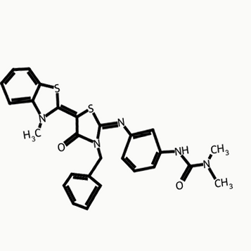 CN(C)C(=O)Nc1cccc(N=C2S/C(=C3\Sc4ccccc4N3C)C(=O)N2Cc2ccccc2)c1